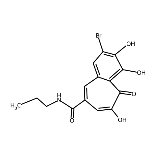 CCCNC(=O)c1cc(O)c(=O)c2c(O)c(O)c(Br)cc2c1